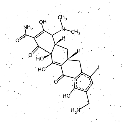 CN(C)C1C(O)=C(C(N)=O)C(=O)[C@@]2(O)C(O)=C3C(=O)c4c(O)c(CN)cc(I)c4C[C@H]3C[C@@H]12